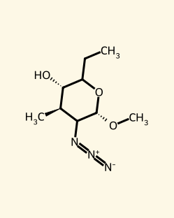 CCC1O[C@H](OC)C(N=[N+]=[N-])[C@@H](C)[C@@H]1O